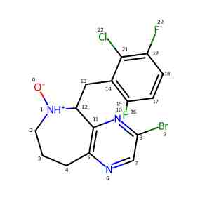 [O-][NH+]1CCCc2ncc(Br)nc2C1Cc1c(F)ccc(F)c1Cl